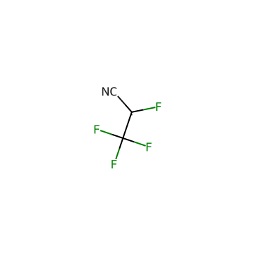 N#C[C](F)C(F)(F)F